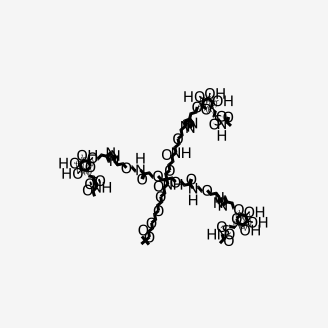 CC(=O)NS(=O)(=O)CC[C@H]1O[C@H](OCCc2cn(CCOCCNC(=O)CCOCC(COCCC(=O)NCCOCCn3cc(CCO[C@H]4O[C@H](CCS(=O)(=O)NC(C)=O)[C@@H](O)[C@H](O)[C@@H]4O)nn3)(COCCC(=O)NCCOCCn3cc(CCO[C@H]4O[C@H](CCS(=O)(=O)NC(C)=O)[C@@H](O)[C@H](O)[C@@H]4O)nn3)NC(=O)COCCOCCOCC(=O)OC(C)(C)C)nn2)[C@@H](O)[C@@H](O)[C@@H]1O